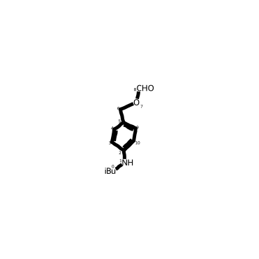 CCC(C)Nc1ccc(COC=O)cc1